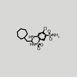 NS(=O)(=O)c1cc2c(cc1Cl)NC(CC1CCCCCC1)NS2(=O)=O